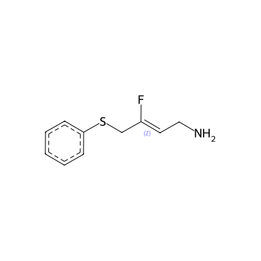 NC/C=C(\F)CSc1ccccc1